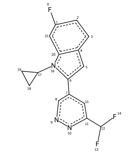 Fc1ccc2cc(-c3cnnc(C(F)F)c3)n(C3CC3)c2c1